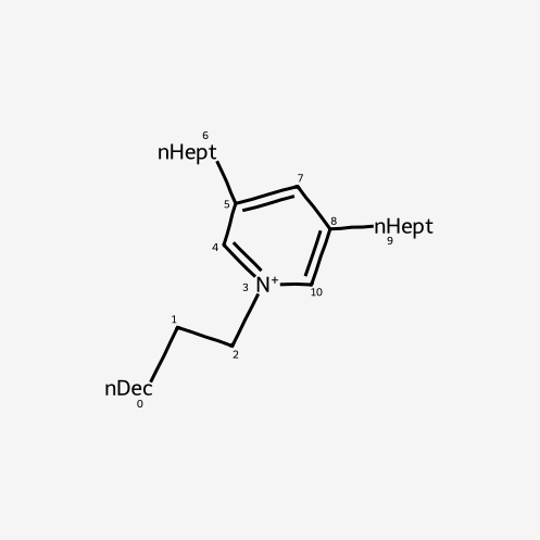 CCCCCCCCCCCC[n+]1cc(CCCCCCC)cc(CCCCCCC)c1